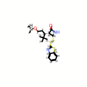 C[SiH](C)OCCC([C@@H]1C(=O)N[C@@H]1SSc1nc2ccccc2s1)C(C)(C)C